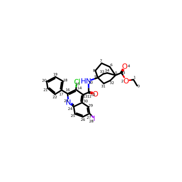 CCOC(=O)C12CCCC(NC(=O)c3c(Cl)c(-c4ccccc4)nc4ccc(I)cc34)(CC1)CC2